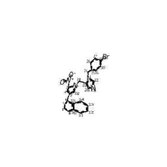 O=[N+]([O-])c1cc(-c2cccc3ccccc23)cn1Cc1cncn1Cc1ccc(Br)cc1